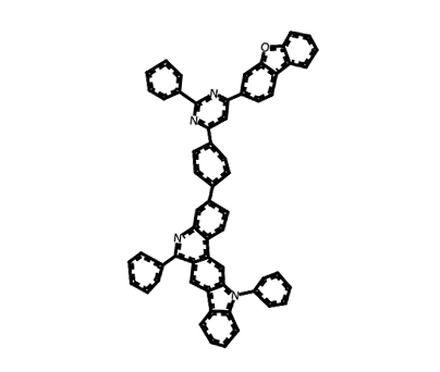 c1ccc(-c2nc(-c3ccc(-c4ccc5c(c4)nc(-c4ccccc4)c4cc6c7ccccc7n(-c7ccccc7)c6cc45)cc3)cc(-c3ccc4c(c3)oc3ccccc34)n2)cc1